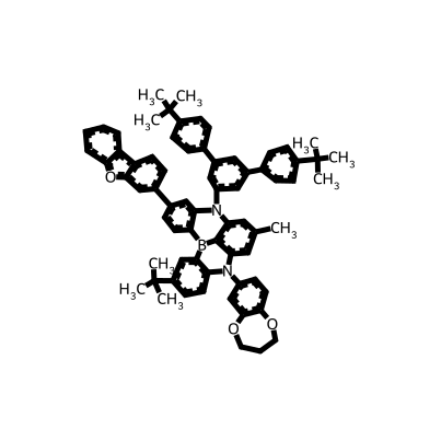 Cc1cc2c3c(c1)N(c1cc(-c4ccc(C(C)(C)C)cc4)cc(-c4ccc(C(C)(C)C)cc4)c1)c1cc(-c4ccc5c(c4)oc4ccccc45)ccc1B3c1cc(C(C)(C)C)ccc1N2c1ccc2c(c1)OCCCO2